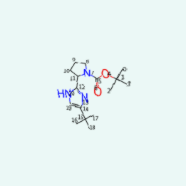 CC(C)(C)OC(=O)N1CCCC1c1nc(C(C)(C)C)c[nH]1